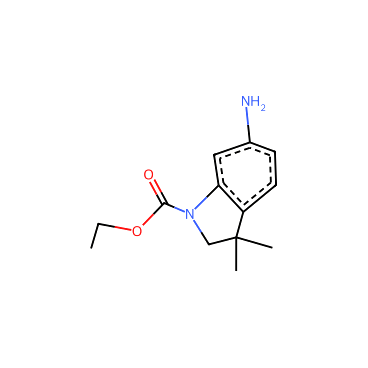 CCOC(=O)N1CC(C)(C)c2ccc(N)cc21